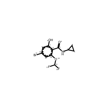 O=C(NC1CC1)c1c(O)cc(Br)cc1OC(F)F